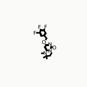 CN1c2cc(OCc3cc(F)c(F)c(F)c3)nc(=O)n2CCC1(C)C